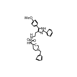 COc1ccc(-c2[nH]c(-c3ccccc3)nc2CCNS(=O)(=O)NC2CCN(Cc3ccccc3)CC2)cc1